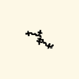 CSC(C)(C)CCCCC(C)(CN(CCCCC(C)(C)C)C(C)(C)C)C(C)(C)C